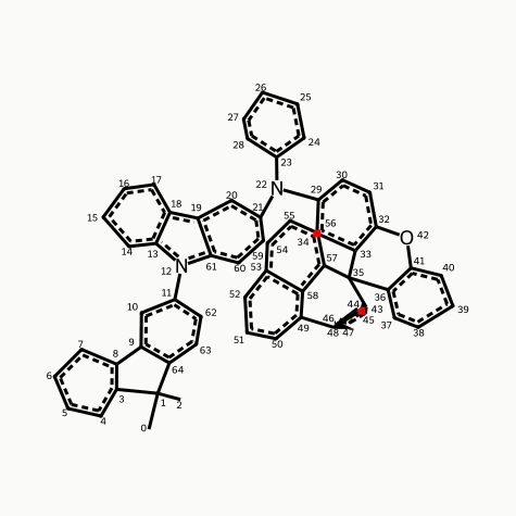 CC1(C)c2ccccc2-c2cc(-n3c4ccccc4c4cc(N(c5ccccc5)c5ccc6c(c5)C5(c7ccccc7O6)c6ccccc6-c6cccc7cccc5c67)ccc43)ccc21